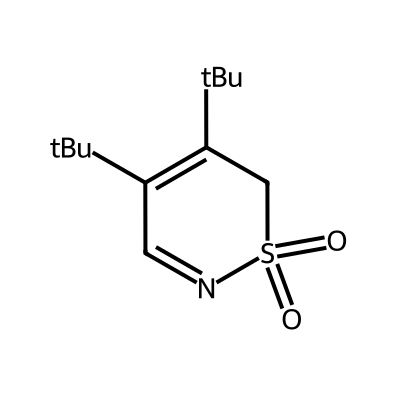 CC(C)(C)C1=C(C(C)(C)C)CS(=O)(=O)N=C1